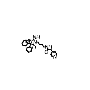 N=C1NC(c2ccccc2)(c2ccccc2)C(=O)N1CCCCNC(=O)Cc1ccncc1